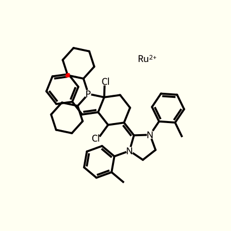 Cc1ccccc1N1CCN(c2ccccc2C)C1=C1CCC(Cl)(P(C2CCCCC2)C2CCCCC2)C(=Cc2ccccc2)C1Cl.[Ru+2]